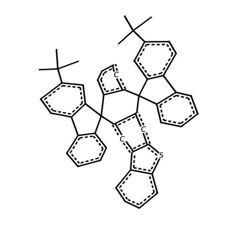 CC(C)(C)c1ccc2c(c1)C1(c3ccccc3-2)c2ccccc2C2(c3ccccc3-c3ccc(C(C)(C)C)cc32)c2cc3c(cc21)sc1ccccc13